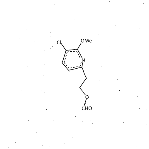 COc1nc(CCOC=O)ccc1Cl